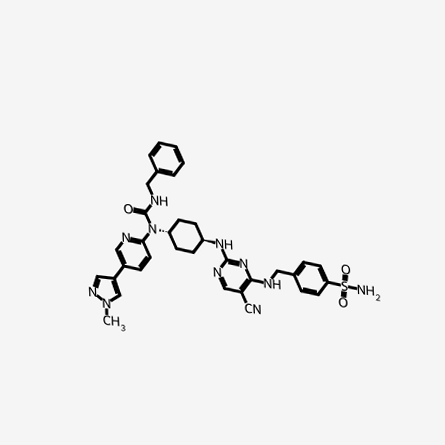 Cn1cc(-c2ccc(N(C(=O)NCc3ccccc3)[C@H]3CC[C@H](Nc4ncc(C#N)c(NCc5ccc(S(N)(=O)=O)cc5)n4)CC3)nc2)cn1